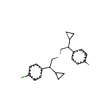 Clc1ccc(C(CSCC(c2ccc(Cl)cc2)C2CC2)C2CC2)cc1